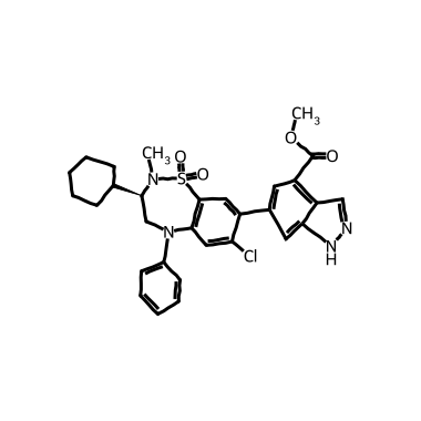 COC(=O)c1cc(-c2cc3c(cc2Cl)N(c2ccccc2)C[C@@H](C2CCCCC2)N(C)S3(=O)=O)cc2[nH]ncc12